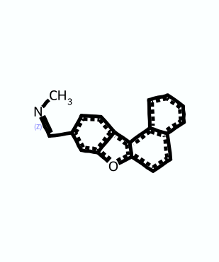 C/N=C\c1ccc2c(c1)oc1ccc3ccccc3c12